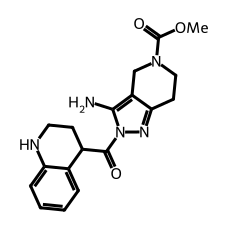 COC(=O)N1CCc2nn(C(=O)C3CCNc4ccccc43)c(N)c2C1